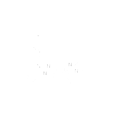 c1ccc(-c2nc(-c3ccc4c(c3)oc3c(-n5c6ccccc6c6cccnc65)cccc34)nc(-c3ccc4c(c3)sc3ccccc34)n2)cc1